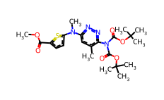 COC(=O)c1ccc(N(C)c2cc(C)c(N(C(=O)OC(C)(C)C)C(=O)OC(C)(C)C)nn2)s1